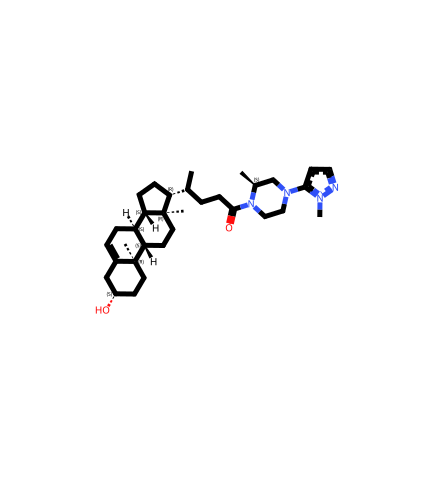 CC(CCC(=O)N1CCN(c2ccnn2C)C[C@@H]1C)[C@H]1CC[C@H]2[C@@H]3CC=C4C[C@@H](O)CC[C@]4(C)[C@H]3CC[C@]12C